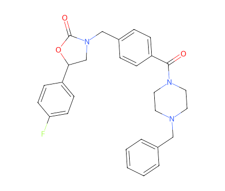 O=C1OC(c2ccc(F)cc2)CN1Cc1ccc(C(=O)N2CCN(Cc3ccccc3)CC2)cc1